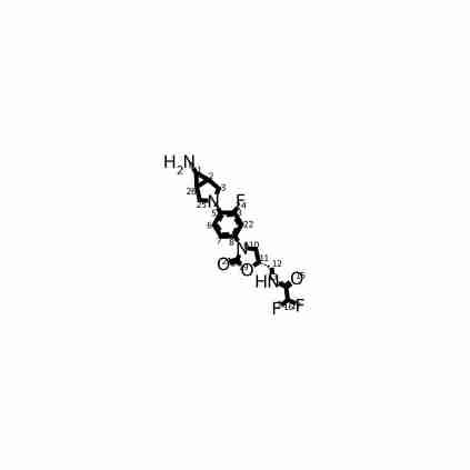 NC1C2CN(c3ccc(N4C[C@H](CNC(=O)C(F)F)OC4=O)cc3F)CC12